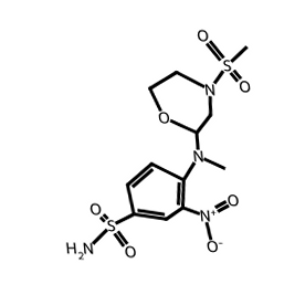 CN(c1ccc(S(N)(=O)=O)cc1[N+](=O)[O-])C1CN(S(C)(=O)=O)CCO1